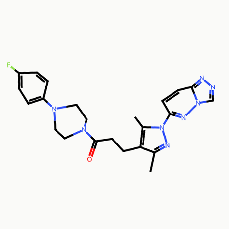 Cc1nn(-c2ccc3nncn3n2)c(C)c1CCC(=O)N1CCN(c2ccc(F)cc2)CC1